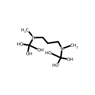 CN(CCCN(C)C(O)(O)O)C(O)(O)O